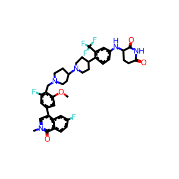 COc1cc(-c2cn(C)c(=O)c3ccc(F)cc23)cc(F)c1CN1CCC(N2CCC(c3ccc(NC4CCC(=O)NC4=O)cc3C(F)(F)F)CC2)CC1